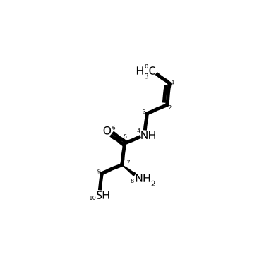 C/C=C\CNC(=O)[C@@H](N)CS